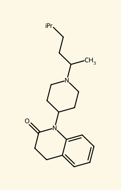 CC(C)CCC(C)N1CCC(N2C(=O)CCc3ccccc32)CC1